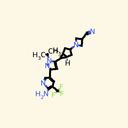 CC(C)n1nc(-c2cnc(N)c(C(F)(F)F)c2)cc1C1[C@H]2CC(N3CC(C#N)C3)C[C@@H]12